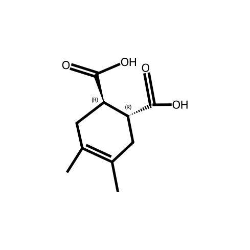 CC1=C(C)C[C@@H](C(=O)O)[C@H](C(=O)O)C1